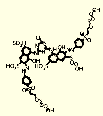 O=S(=O)(O)c1cc(Nc2nc(Cl)nc(Nc3cc(S(=O)(=O)O)cc4cc(S(=O)(=O)O)c(/N=N/c5ccc(S(=O)(=O)CCOSOOO)cc5)c(O)c34)n2)c2c(O)c(/N=N/c3ccc(S(=O)(=O)CCOSOOO)cc3)c(SOOO)cc2c1